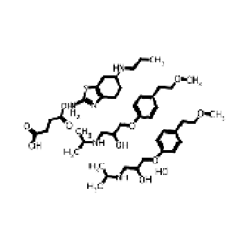 CCCN[C@H]1CCc2nc(N)sc2C1.COCCc1ccc(OCC(O)CNC(C)C)cc1.COCCc1ccc(OCC(O)CNC(C)C)cc1.Cl.O=C(O)CCC(=O)O